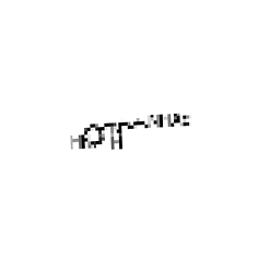 CC(=O)NCCCCNCC1CCNCC1